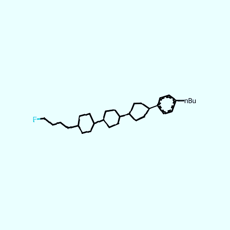 CCCCc1ccc(C2CCC(C3CCC(C4CCC(CCCCF)CC4)CC3)CC2)cc1